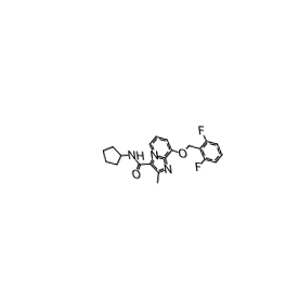 Cc1nc2c(OCc3c(F)cccc3F)cccn2c1C(=O)NC1CCCC1